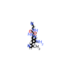 Cc1ccncc1-c1cc(N)c2cnc(NC(=O)C(=O)NCCC#N)cc2c1